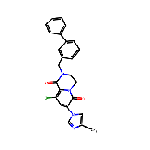 Cc1cn(-c2cc(Cl)c3n(c2=O)CCN(Cc2cccc(-c4ccccc4)c2)C3=O)cn1